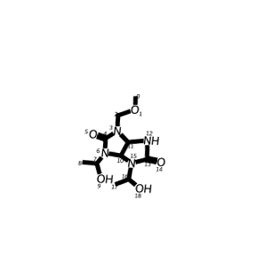 COCN1C(=O)N(C(C)O)C2C1NC(=O)N2C(C)O